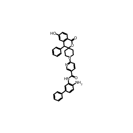 Nc1ccc(-c2ccccc2)cc1NC(=O)c1ccc(N2CCC3(CC2)OC(=O)c2ccc(O)cc2C3c2ccccc2)nc1